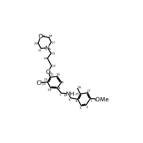 COc1ccc(CNCc2ccc(OCCCN3CCOCC3)c(Cl)c2)c(C)c1